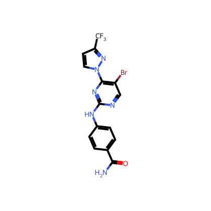 NC(=O)c1ccc(Nc2ncc(Br)c(-n3ccc(C(F)(F)F)n3)n2)cc1